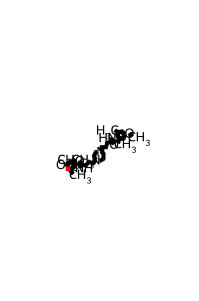 COc1cc(C)c(NC(=O)CCCN2CCCN(CCCC(=O)Nc3c(C)cc(OC)cc3C)CC2)c(C)c1